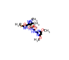 COc1cc(OC)nc(NC(=O)NS(=O)(=O)c2c(-c3nnc(SC)o3)nn(C)c2C)n1